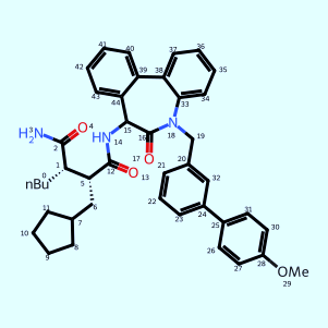 CCCC[C@H](C(N)=O)[C@@H](CC1CCCC1)C(=O)NC1C(=O)N(Cc2cccc(-c3ccc(OC)cc3)c2)c2ccccc2-c2ccccc21